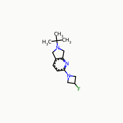 CC(C)(C)N1Cc2ccc(N3CC(F)C3)nc2C1